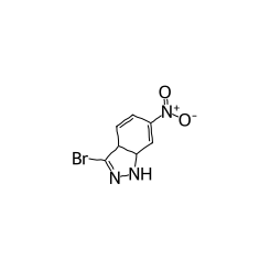 O=[N+]([O-])C1=CC2NN=C(Br)C2C=C1